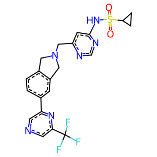 O=S(=O)(Nc1cc(CN2Cc3ccc(-c4cncc(C(F)(F)F)n4)cc3C2)ncn1)C1CC1